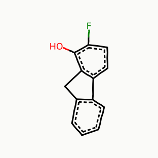 Oc1c(F)ccc2c1Cc1ccccc1-2